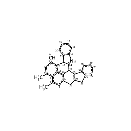 Cc1cc(C)c2c(C)cc3c4c2c1C1C(=Nc2ccccc21)C4C1=C(Cc2ccccc21)C3